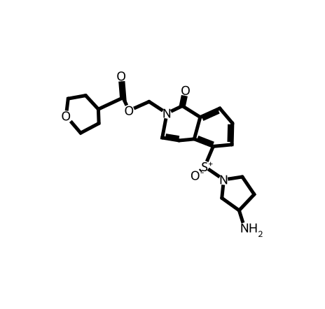 NC1CCN([S+]([O-])c2cccc3c(=O)n(COC(=O)C4CCOCC4)ccc23)C1